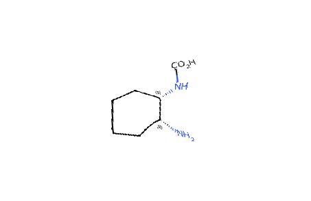 N[C@@H]1CCCC[C@@H]1NC(=O)O